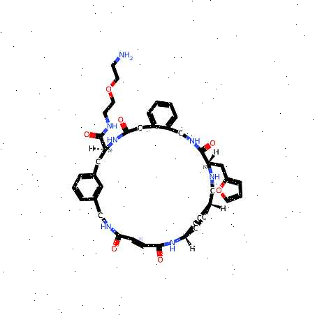 NCCOCCNC(=O)[C@@H]1Cc2cccc(c2)CNC(=O)/C=C/C(=O)N[C@H]2CC[C@H](CC2)CN[C@@H](Cc2ccco2)C(=O)NCc2ccccc2CC(=O)N1